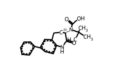 CC(C)(C)N(C(=O)O)[C@H]1CCc2cc(-c3ccccc3)ccc2NC1=O